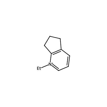 CC[n+]1cccc2c1CCC2